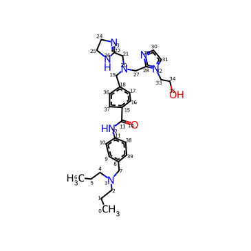 CCCN(CCC)Cc1ccc(NC(=O)c2ccc(CN(CC3=NCCN3)Cc3nccn3CCO)cc2)cc1